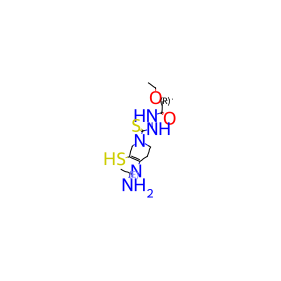 CCO[C@H](C)C(=O)NNC(=S)N1CCC(/N=C(\C)N)=C(S)C1